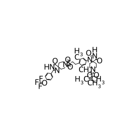 Cc1cc(N2C(=O)NC(=O)C23CCN(C(=O)OC(C)(C)C)CC3)cc(C)c1CCS(=O)(=O)N1CCC2(CC1)N=C(c1ccc(OC(F)(F)F)cc1)NC2=O